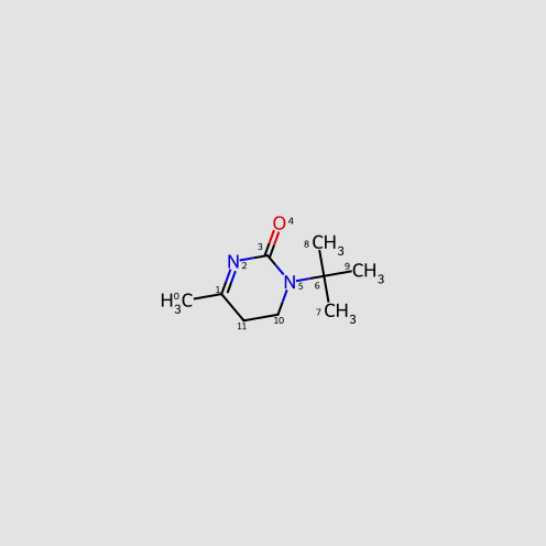 CC1=NC(=O)N(C(C)(C)C)CC1